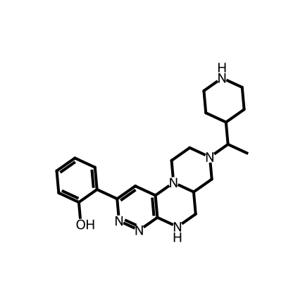 CC(C1CCNCC1)N1CCN2c3cc(-c4ccccc4O)nnc3NCC2C1